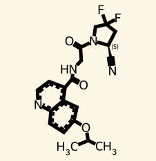 CC(C)Oc1ccc2nccc(C(=O)NCC(=O)N3CC(F)(F)C[C@H]3C#N)c2c1